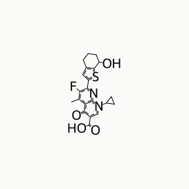 Cc1c(F)c(-c2cc3c(s2)C(O)CCC3)nc2c1c(=O)c(C(=O)O)cn2C1CC1